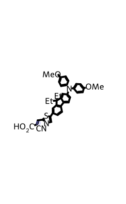 CCC1(CC)c2cc(-c3cnc(/C=C(\C#N)C(=O)O)s3)ccc2-c2ccc(N(c3ccc(OC)cc3)c3ccc(OC)cc3)cc21